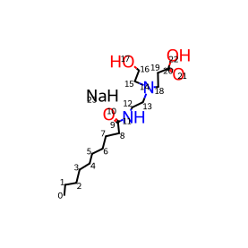 CCCCCCCCCC(=O)NCCN(CCO)CCC(=O)O.[NaH]